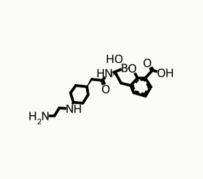 NCCN[C@H]1CC[C@@H](CC(=O)N[C@H]2Cc3cccc(C(=O)O)c3OB2O)CC1